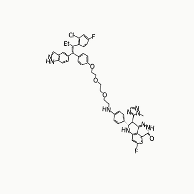 CC/C(=C(/c1ccc(OCCOCCOCCNc2ccc([C@H]3Nc4cc(F)cc5c(=O)[nH]nc(c45)[C@@H]3c3ncnn3C)cc2)cc1)c1ccc2[nH]ncc2c1)c1ccc(F)cc1Cl